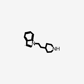 [c]1cn(CCC2CCNCC2)c2ccccc12